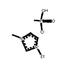 CC[n+]1ccn(C)c1.CP(=O)([O-])O